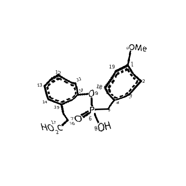 COc1ccc(CP(=O)(O)Oc2ccccc2CC(=O)O)cc1